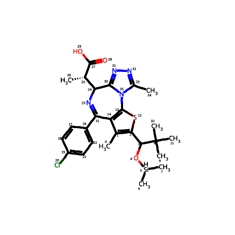 Cc1c(C(O[SiH](C)C)C(C)(C)C)sc2c1C(c1ccc(Cl)cc1)=NC([C@H](C)C(=O)O)c1nnc(C)n1-2